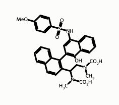 COc1ccc(S(=O)(=O)Nc2cc(-c3c(C(CN(C)C(=O)O)N(C)C(=O)O)ccc4ccccc34)c(O)c3ccccc23)cc1